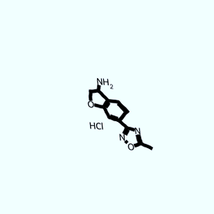 Cc1nc(-c2ccc3c(c2)OCC3N)no1.Cl